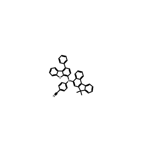 CC1(C)c2ccccc2-c2c1cc(N(c1ccc(C#N)cc1)c1ccc(-c3ccccc3)c3c1sc1ccccc13)c1ccccc21